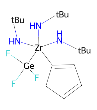 CC(C)(C)[NH][Zr]([NH]C(C)(C)C)([NH]C(C)(C)C)([C]1=CC=CC1)[Ge]([F])([F])[F]